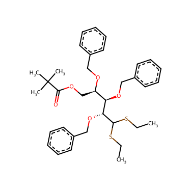 CCSC(SCC)[C@H](OCc1ccccc1)[C@H](OCc1ccccc1)[C@@H](COC(=O)C(C)(C)C)OCc1ccccc1